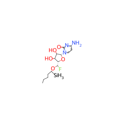 CCCCC([SiH3])OC(F)[C@H]1O[C@@H](n2ccc(N)nc2=O)[C@H](O)[C@@H]1O